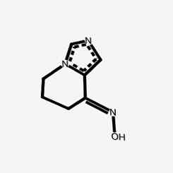 O/N=C1\CCCn2cncc21